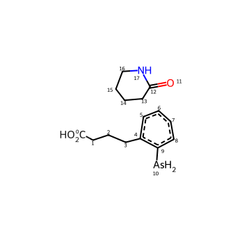 O=C(O)CCCc1ccccc1[AsH2].O=C1CCCCN1